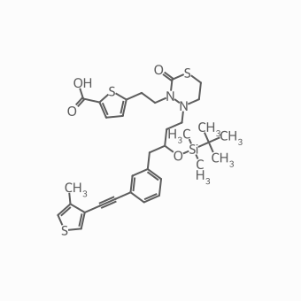 Cc1cscc1C#Cc1cccc(CC(CCN2CCSC(=O)N2CCc2ccc(C(=O)O)s2)O[Si](C)(C)C(C)(C)C)c1